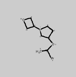 CC(C)C(C)OC1CCN(C2COC2)C1